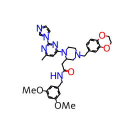 COc1cc(CNC(=O)CC2CN(Cc3ccc4c(c3)OCCO4)CCN2c2cc(C)nc(-n3ccnc3)n2)cc(OC)c1